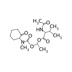 CC(=O)NC(C(=O)OC(C)OC(=O)N(C)C1CCCCC1=O)C(C)C